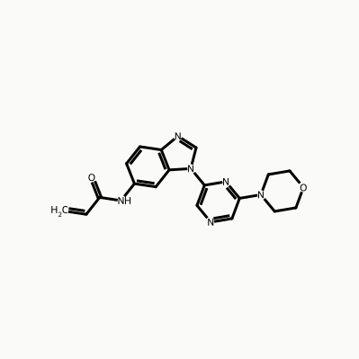 C=CC(=O)Nc1ccc2ncn(-c3cncc(N4CCOCC4)n3)c2c1